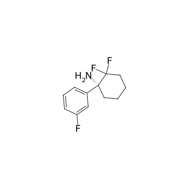 N[C@@]1(c2cccc(F)c2)CCCCC1(F)F